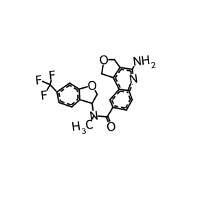 CN(C(=O)c1ccc2nc(N)c3c(c2c1)COC3)C1COc2cc(C(F)(F)F)ccc21